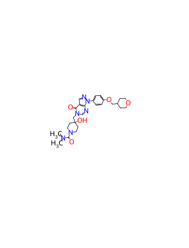 CN(C)C(=O)N1CCC(O)(Cn2cnc3c(cnn3-c3ccc(OCC4CCOCC4)cc3)c2=O)CC1